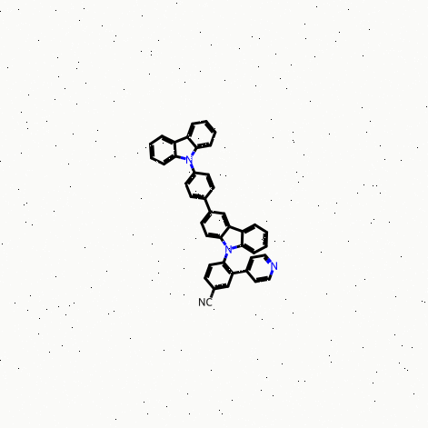 N#Cc1ccc(-n2c3ccccc3c3cc(-c4ccc(-n5c6ccccc6c6ccccc65)cc4)ccc32)c(-c2ccncc2)c1